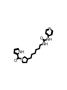 O=C(NCCCCCCC1CCN(C(=O)c2ccc[nH]2)C1)Nc1ccncc1